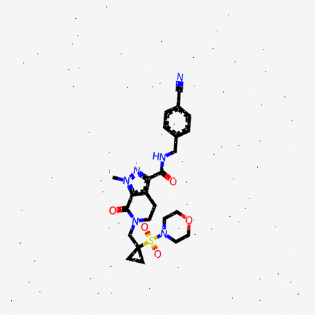 Cn1nc(C(=O)NCc2ccc(C#N)cc2)c2c1C(=O)N(CC1(S(=O)(=O)N3CCOCC3)CC1)CC2